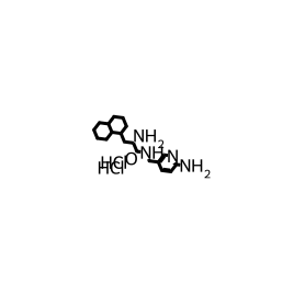 Cl.Cl.Nc1ccc(CNC(=O)C(N)CC2CCCC3CCCCC32)cn1